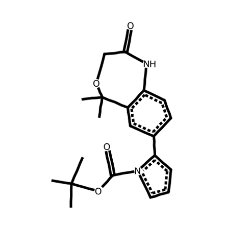 CC(C)(C)OC(=O)n1cccc1-c1ccc2c(c1)C(C)(C)OCC(=O)N2